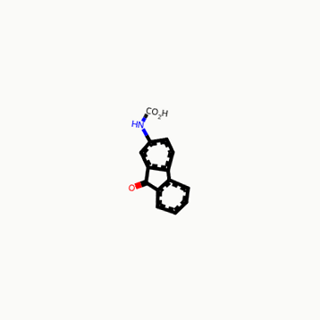 O=C(O)Nc1ccc2c(c1)C(=O)c1ccccc1-2